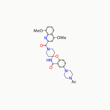 COc1cc(C(=O)N2CCC3(CC2)NC(=O)c2cc(N4CCN(C(C)=O)CC4)ccc2O3)nc2c(OC)cccc12